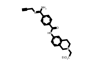 C#CCN=C(N)c1ccc(C(=O)Nc2ccc3c(c2)CCN(CC(=O)OCC)C3)cc1